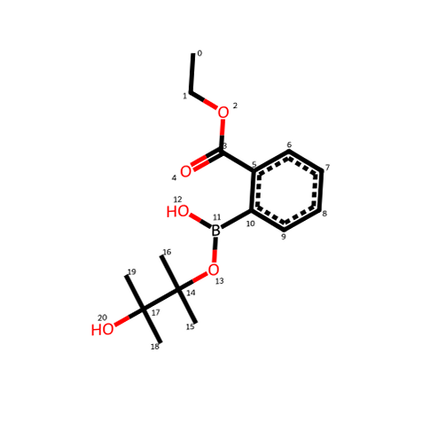 CCOC(=O)c1ccccc1B(O)OC(C)(C)C(C)(C)O